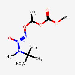 CC(C)OC(=O)OC(C)O/N=[N+](\[O-])N(C)C(C)(C)C(=O)O